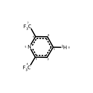 [2H]c1cc(C(F)(F)F)nc(C(F)(F)F)c1